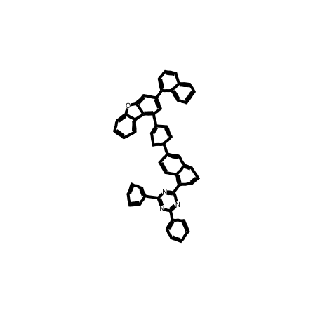 C1=CC(c2ccc3c(-c4nc(-c5ccccc5)nc(-c5ccccc5)n4)cccc3c2)CC=C1c1cc(-c2cccc3ccccc23)cc2oc3ccccc3c12